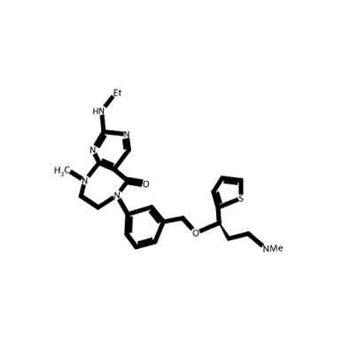 CCNc1ncc2c(n1)N(C)CCN(c1cccc(CO[C@H](CCNC)c3cccs3)c1)C2=O